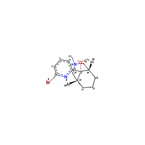 CO[C@@]1(c2cccc(Br)n2)[C@@H]2CCC[C@H]1CN(C)C2